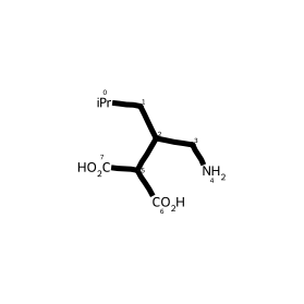 CC(C)CC(CN)C(C(=O)O)C(=O)O